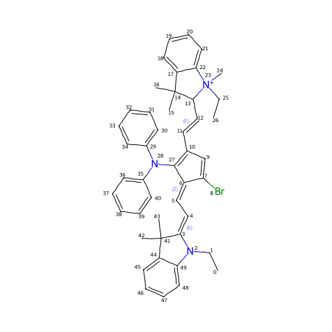 CCN1/C(=C/C=C2\C(Br)=CC(/C=C/C3C(C)(C)c4ccccc4[N+]3(C)CC)=C2N(c2ccccc2)c2ccccc2)C(C)(C)c2ccccc21